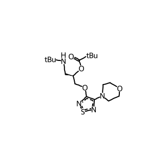 CC(C)(C)NC[C@H](COc1nsnc1N1CCOCC1)OC(=O)C(C)(C)C